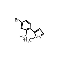 Cn1nccc1-c1ccc(Br)cc1N